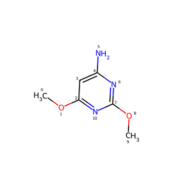 COc1cc(N)nc(OC)n1